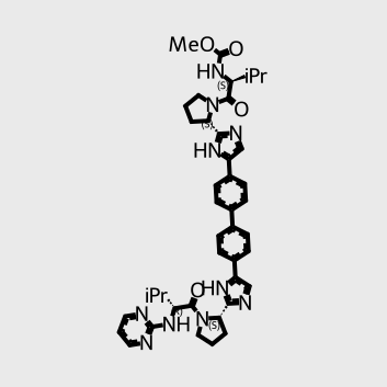 COC(=O)N[C@H](C(=O)N1CCC[C@H]1c1ncc(-c2ccc(-c3ccc(-c4cnc([C@@H]5CCCN5C(=O)[C@H](Nc5ncccn5)C(C)C)[nH]4)cc3)cc2)[nH]1)C(C)C